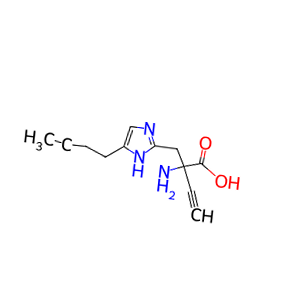 C#CC(N)(Cc1ncc(CCCC)[nH]1)C(=O)O